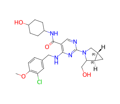 COc1ccc(CNc2nc(N3C[C@@H]4C[C@H]4C3CO)ncc2C(=O)NC2CCC(O)CC2)cc1Cl